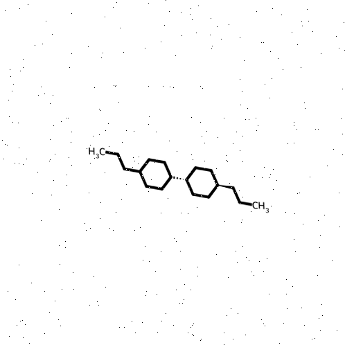 CCCC1CCC([C@H]2CC[C@H](CCC)CC2)CC1